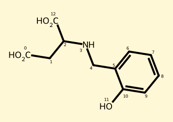 O=C(O)CC(NCc1ccccc1O)C(=O)O